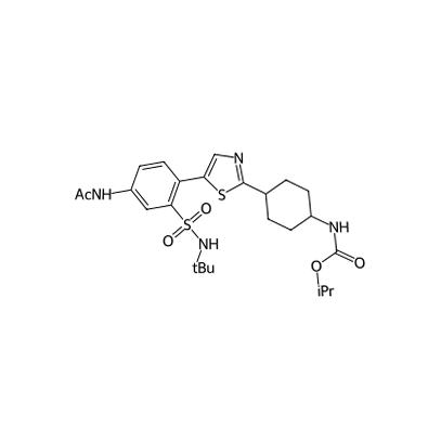 CC(=O)Nc1ccc(-c2cnc(C3CCC(NC(=O)OC(C)C)CC3)s2)c(S(=O)(=O)NC(C)(C)C)c1